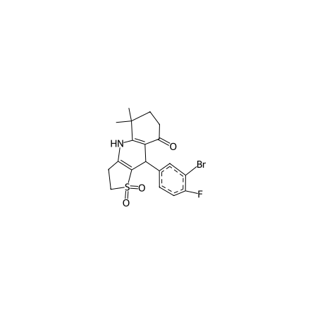 CC1(C)CCC(=O)C2=C1NC1=C(C2c2ccc(F)c(Br)c2)S(=O)(=O)CC1